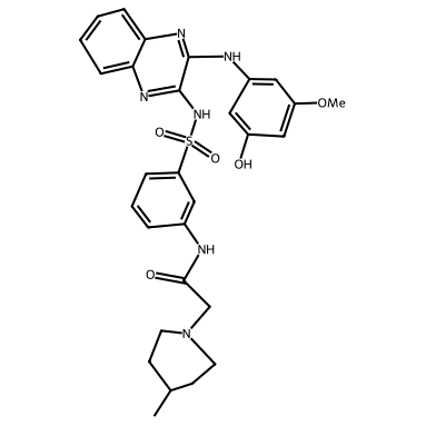 COc1cc(O)cc(Nc2nc3ccccc3nc2NS(=O)(=O)c2cccc(NC(=O)CN3CCC(C)CC3)c2)c1